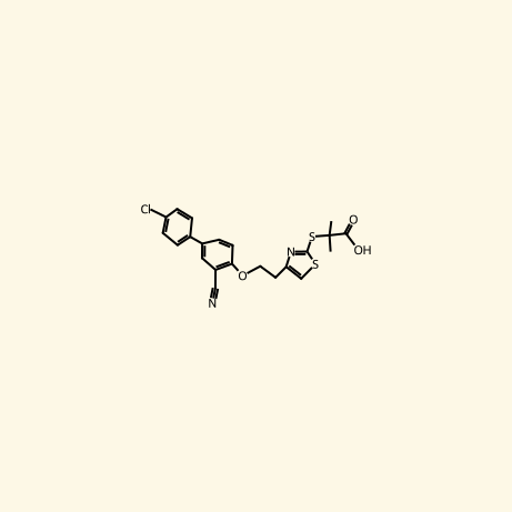 CC(C)(Sc1nc(CCOc2ccc(-c3ccc(Cl)cc3)cc2C#N)cs1)C(=O)O